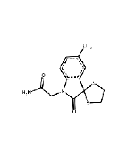 Cc1ccc2c(c1)C1(SCCS1)C(=O)N2CC(N)=O